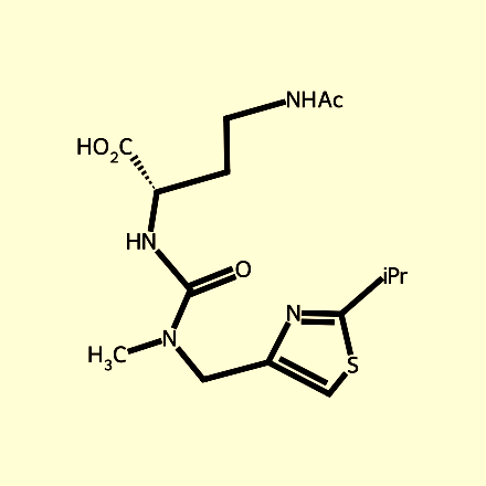 CC(=O)NCC[C@H](NC(=O)N(C)Cc1csc(C(C)C)n1)C(=O)O